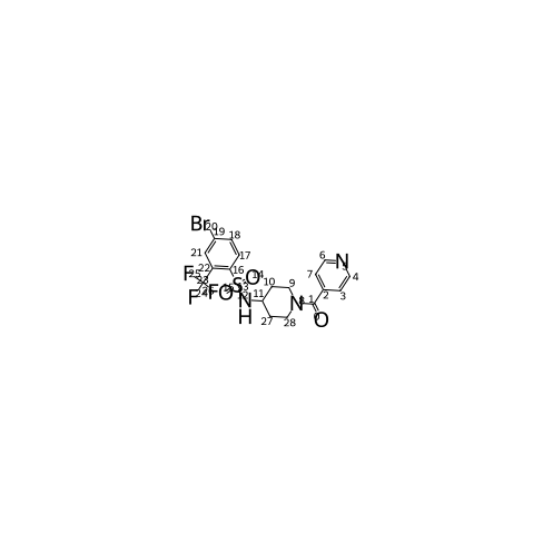 O=C(c1ccncc1)N1CCC(NS(=O)(=O)c2ccc(Br)cc2C(F)(F)F)CC1